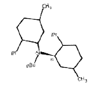 CCCC[Si](C1CC(C)CCC1C(C)C)[C@@H]1CC(C)CCC1C(C)C